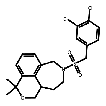 CC1(C)OCC2CCN(S(=O)(=O)Cc3ccc(Cl)c(Cl)c3)Cc3cccc1c32